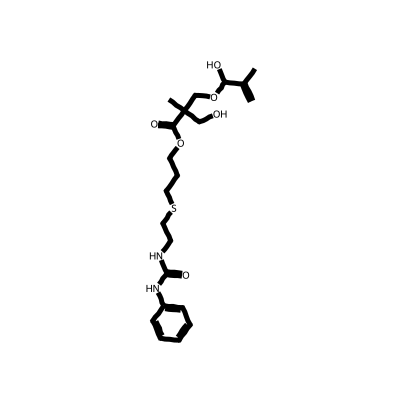 C=C(C)C(O)OCC(C)(CO)C(=O)OCCCSCCNC(=O)Nc1ccccc1